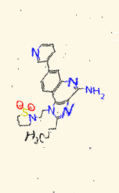 CCCCc1nc2c(N)nc3cc(-c4cccnc4)ccc3c2n1CCN1CCCS1(=O)=O